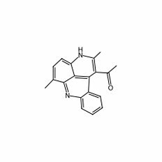 CC(=O)C1=C(C)Nc2ccc(C)c3nc4ccccc4c1c23